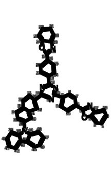 c1ccc2oc(-c3ccc(-c4nc(-c5ccc(-c6nc7ccccc7o6)cc5)nc(-c5ccc6ccc(-n7c8ccccc8c8ccccc87)cc6c5)n4)cc3)nc2c1